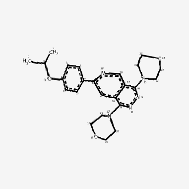 CC(C)Oc1ccc(-c2cc3c(N4CCOCC4)nnc(N4CCOCC4)c3cn2)cc1